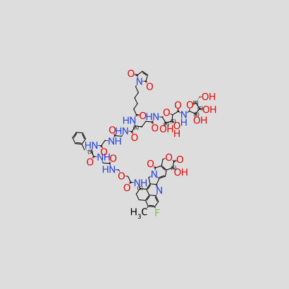 Cc1c(F)cc2nc3c(c4c2c1CC[C@@H]4NC(=O)COCNC(=O)CNC(=O)[C@H](Cc1ccccc1)NC(=O)CNC(=O)CNC(=O)[C@H](CCC(=O)NC1OC(C(=O)NC2O[C@H](CO)[C@@H](O)[C@H]2O)[C@@H](O)[C@H]1O)NC(=O)CCCCCN1C(=O)C=CC1=O)Cn1c-3cc2c(c1=O)COC(=O)[C@H]2O